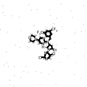 CCC1CC(N(Cc2cc(C(F)(F)F)cc(C(F)(F)F)c2)C2N=CC(N3CCOCC3)=CN2)CN1c1nc(Cl)ncc1Cl